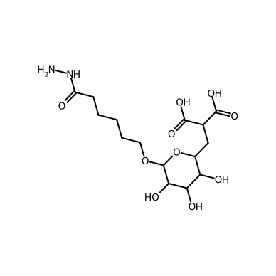 NNC(=O)CCCCCOC1OC(CC(C(=O)O)C(=O)O)C(O)C(O)C1O